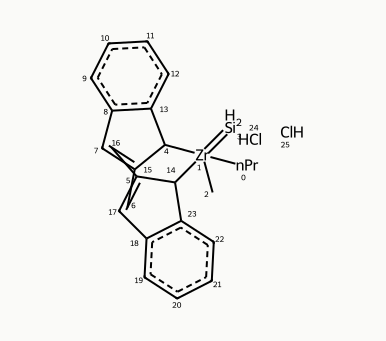 CC[CH2][Zr]([CH3])(=[SiH2])([CH]1C(C)=Cc2ccccc21)[CH]1C(C)=Cc2ccccc21.Cl.Cl